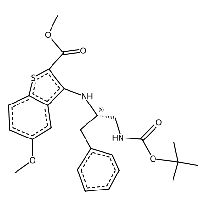 COC(=O)c1sc2ccc(OC)cc2c1N[C@H](CNC(=O)OC(C)(C)C)Cc1ccccc1